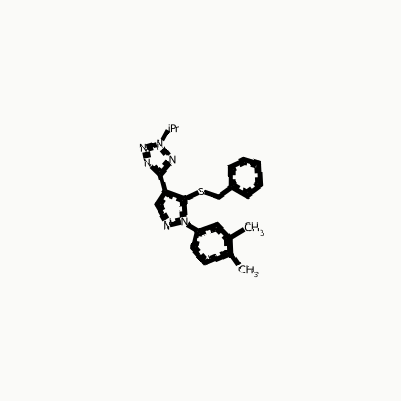 Cc1ccc(-n2ncc(-c3nnn(C(C)C)n3)c2SCc2ccccc2)cc1C